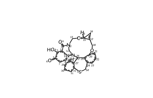 O=C1c2c(O)c(=O)ccn2N2CN1CC[C@@H]1C=C1COc1cccc3c1[C@H]2c1ccccc1SC3